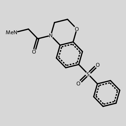 CNCC(=O)N1CCOc2cc(S(=O)(=O)c3ccccc3)ccc21